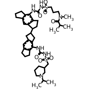 CC(C)C(=O)N(C)CCCS(=O)(=O)NC(=O)Nc1c2c(cc3c1CCC3C1Cc3cc4c(c(NC(=O)NS(=O)(=O)CC5CCCN(C(C)C)C5)c3C1)CCC4)CCC2